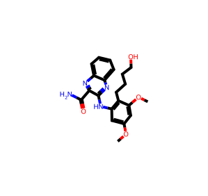 COc1cc(Nc2nc3ccccc3nc2C(N)=O)c(CCCCO)c(OC)c1